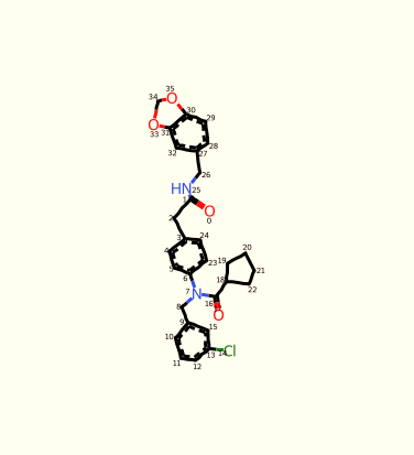 O=C(Cc1ccc(N(Cc2cccc(Cl)c2)C(=O)C2CCCC2)cc1)NCc1ccc2c(c1)OCO2